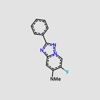 CNc1cc2nc(-c3ccccc3)nn2cc1F